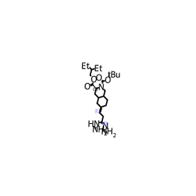 CCC(CC)COC(=O)[C@@H]1CC2C/C(=C/C/C(=N/N)NN)CCC2CN1C(=O)OC(C)(C)C